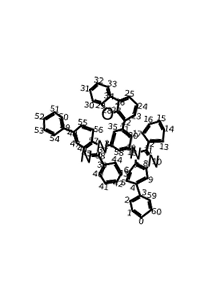 c1ccc(-c2ccc3c(c2)nc(-c2ccccc2)n3-c2cc(-c3cccc4c3oc3ccccc34)cc(-n3c(-c4ccccc4)nc4cc(-c5ccccc5)ccc43)c2)cc1